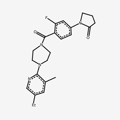 CCc1cnc(N2CCN(C(=O)c3ccc(N4CCCC4=O)cc3F)CC2)c(C)c1